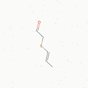 CC=CSC[C]=O